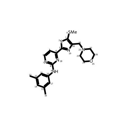 CSc1sc(-c2ccnc(Nc3cc(C)cc(C)c3)n2)nc1CN1CCOCC1